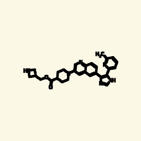 Cc1cccc(-c2[nH]cnc2-c2ccc3ncc(N4CCC(C(=O)OCC5CNC5)CC4)cc3c2)n1